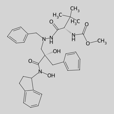 COC(=O)N[C@H](C(=O)NN(Cc1ccccc1)C[C@@](O)(Cc1ccccc1)C(=O)N(O)C1CCc2ccccc21)C(C)(C)C